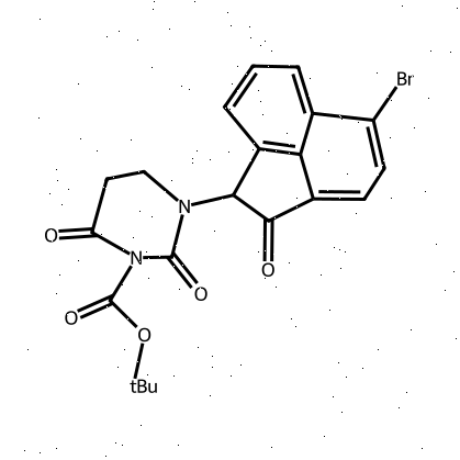 CC(C)(C)OC(=O)N1C(=O)CCN(C2C(=O)c3ccc(Br)c4cccc2c34)C1=O